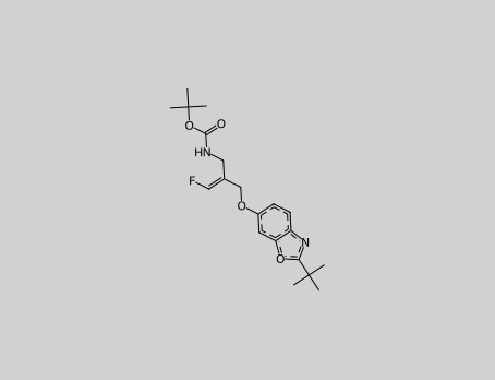 CC(C)(C)OC(=O)NCC(=CF)COc1ccc2nc(C(C)(C)C)oc2c1